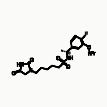 CCCOc1cc([C@@H](C)NS(=O)(=O)CCCCCN2CC(=O)NC2=O)ccc1F